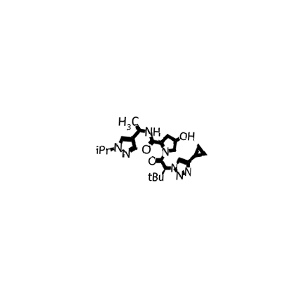 CC(NC(=O)C1CC(O)CN1C(=O)[C@@H](n1cc(C2CC2)nn1)C(C)(C)C)c1cnn(C(C)C)c1